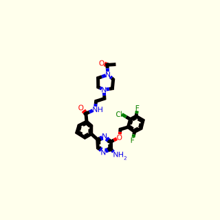 CC(=O)N1CCN(CCNC(=O)c2cccc(-c3cnc(N)c(OCc4c(F)ccc(F)c4Cl)n3)c2)CC1